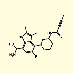 CC#CC(=O)N[C@H]1CCCN(c2c(F)cc(C(N)O)c3[nH]c(C)c(C)c23)C1